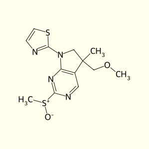 COCC1(C)CN(c2nccs2)c2nc([S+](C)[O-])ncc21